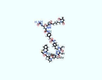 CC[C@H](C)[C@@H]([C@@H](CC(=O)N1CCC[C@H]1[C@H](OC)[C@@H](C)C(=O)NC(Cc1ccccc1)N1C=CSC1)OC)N(C)C(=O)[C@@H](NC(=O)[C@H](C(C)C)N(C)CCc1ccc(N(C)C(=O)OCc2ccc(NC(=O)[C@H](CCCNC(N)=O)NC(=O)[C@@H](NC(=O)CCCCCN3C(=O)CC(C)C3=O)C(C)C)cc2)cc1)C(C)C